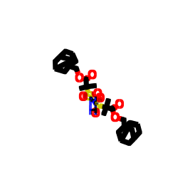 CC(C)(C(=O)OCC12CC3CC(CC(C3)C1)C2)S(=O)(=O)NS(=O)(=O)C(C)(C)C(=O)OCC12CC3CC(CC(C3)C1)C2